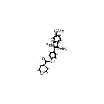 CCn1c(-c2ccc(NC(=O)N3CCOCC3)cc2)c(N)c2ccc(OC)cc21